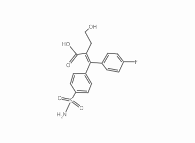 NS(=O)(=O)c1ccc(C(=C(CCO)C(=O)O)c2ccc(F)cc2)cc1